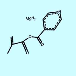 C=C(C)C(=O)OC(=O)c1ccncc1.[MgH2]